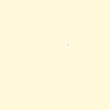 CN(C)CCCC(=CCCCl)c1ccccc1